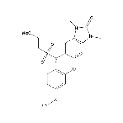 CCCOc1cccc(Oc2cc3c(cc2NS(=O)(=O)CCOC)n(C)c(=O)n3C)c1